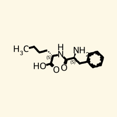 CCCC[C@H](NC(=O)[C@@H](N)Cc1ccccc1)C(=O)O